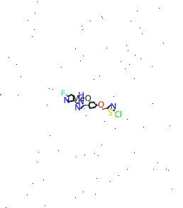 COc1cc(OCc2cnc(Cl)s2)ccc1-c1cnc(-c2ccc(F)nc2)[nH]1